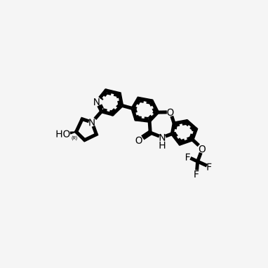 O=C1Nc2cc(OC(F)(F)F)ccc2Oc2ccc(-c3ccnc(N4CC[C@@H](O)C4)c3)cc21